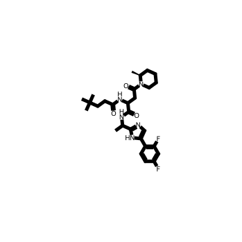 CC(NC(=O)C(CC(=O)N1CCCC[C@@H]1C)NC(=O)CCC(C)(C)C)c1ncc(-c2ccc(F)cc2F)[nH]1